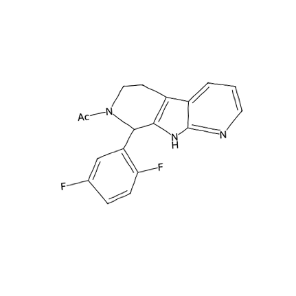 CC(=O)N1CCc2c([nH]c3ncccc23)C1c1cc(F)ccc1F